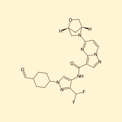 O=CC1CCC(n2cc(NC(=O)c3cnn4ccc(N5C[C@H]6C[C@@H]5CO6)nc34)c(C(F)F)n2)CC1